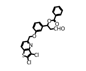 O=CCC(OC(=O)c1ccccc1)c1cccc(OCc2ccc3sc(Cl)c(Cl)c3n2)c1